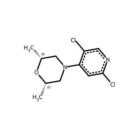 C[C@@H]1CN(c2cc(Cl)ncc2Cl)C[C@H](C)O1